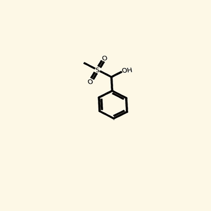 CS(=O)(=O)C(O)c1cc[c]cc1